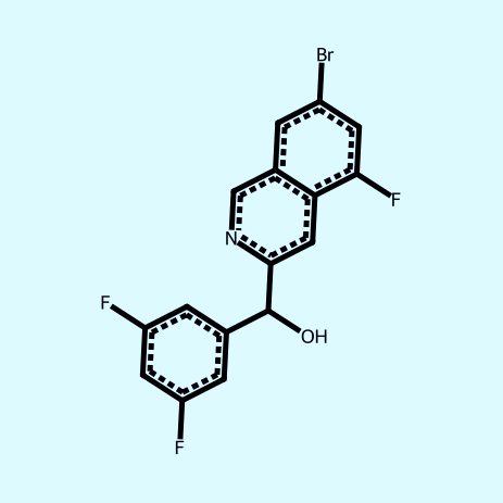 OC(c1cc(F)cc(F)c1)c1cc2c(F)cc(Br)cc2cn1